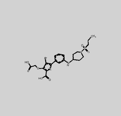 CCCS(=O)(=O)N1CCC(Nc2cccc(-c3sc(C(=O)O)c(OCC(=O)O)c3Br)c2)CC1